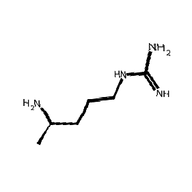 C[C@@H](N)CCCNC(=N)N